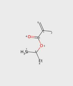 C=C(C)C(=O)OC([SiH3])CC